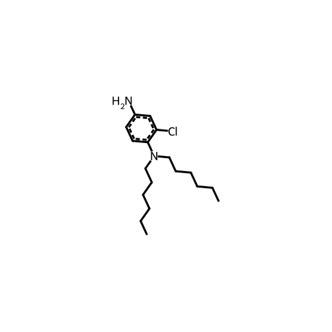 CCCCCCN(CCCCCC)c1ccc(N)cc1Cl